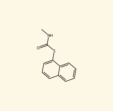 CNC(=O)Sc1cccc2ccccc12